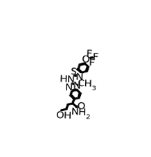 Cn1c(Nc2nc3ccc(OC(F)(F)F)cc3s2)nc2cc(C(CCCO)C(N)=O)ccc21